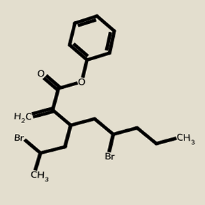 C=C(C(=O)Oc1ccccc1)C(CC(C)Br)CC(Br)CCC